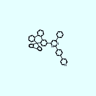 c1ccc(-c2cc(-c3ccc4c(c3)-c3ccccc3-c3ccccc3C43c4ccccc4-c4ccccc43)nc(-c3ccc(-c4ccncc4)cc3)n2)cc1